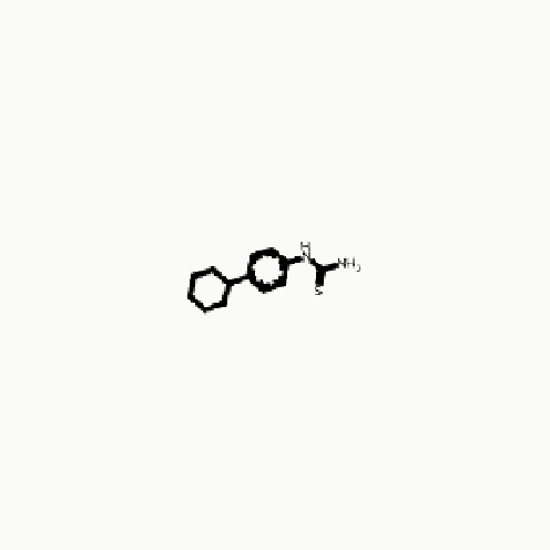 NC(=S)Nc1ccc(C2CCCCC2)cc1